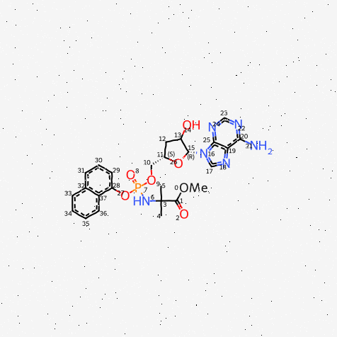 COC(=O)C(C)(C)NP(=O)(OC[C@@H]1CC(O)[C@H](n2cnc3c(N)ncnc32)O1)Oc1cccc2ccccc12